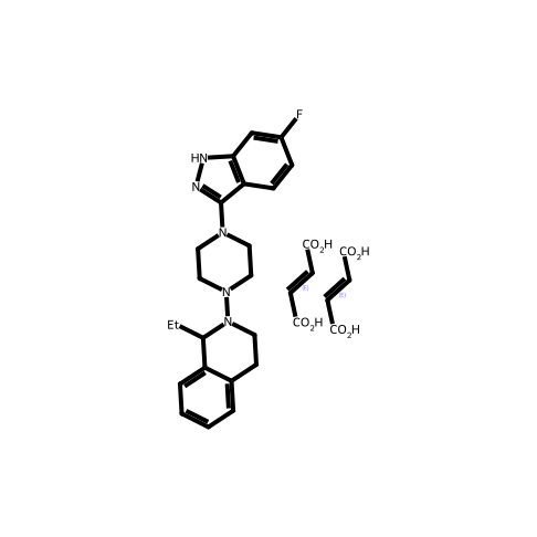 CCC1c2ccccc2CCN1N1CCN(c2n[nH]c3cc(F)ccc23)CC1.O=C(O)/C=C/C(=O)O.O=C(O)/C=C/C(=O)O